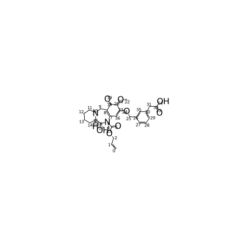 C=CCOC(=O)N1C2=C(CN3CCCC[C@H]3C1O)C(=O)C(OC)C(OCc1cccc(CC(=O)O)c1)=C2